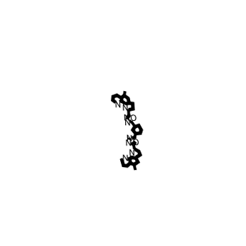 Cc1cc2ccc(-c3nnc(-c4cccc(-c5nnc(-c6ccc7cc(C)c8cccnc8c7n6)o5)c4)o3)nc2c2ncccc12